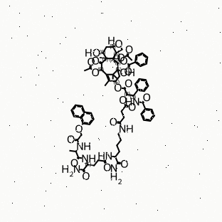 CC(=O)O[C@H]1C(=O)[C@@]2(C)[C@H]([C@H](OC(=O)c3ccccc3)[C@]3(O)C[C@H](OC(=O)[C@H](OC(=O)CCC(=O)NCCCCC(NC(=O)CC[C@H](NC(=O)C(C)NC(=O)COc4cccc5ccccc45)C(N)=O)C(N)=O)[C@@H](NC(=O)c4ccccc4)c4ccccc4)C(C)=C1C3(C)C)[C@]1(OC(C)=O)CO[C@@H]1C[C@@H]2O